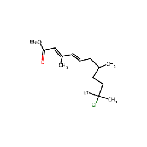 CCC(C)(Cl)CCC(C)C/C=C/C(C)=C/C(=O)OC